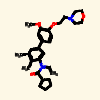 CCN(C(=O)C1CCCC1)c1cc(-c2ccc(OCCN3CCOCC3)c(OC)c2)cc(C)c1C